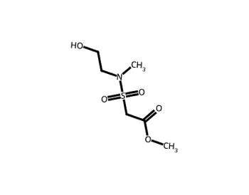 COC(=O)CS(=O)(=O)N(C)CCO